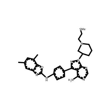 CSCCN1CCCC(n2nc(-c3ccc(Nc4nc5cc(C)cc(C)c5o4)cc3)c3c(N)ncnc32)C1